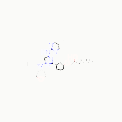 CNCC(O)COc1cccc(-c2nc(Nc3ncc(C)cn3)cc(N(C)C3CCOCC3)n2)c1